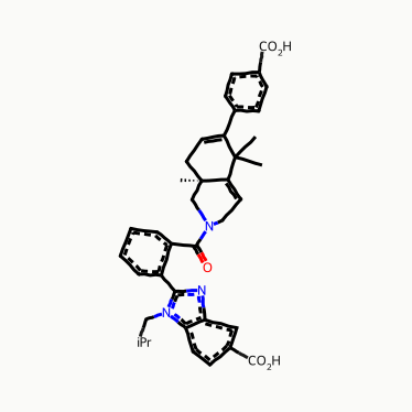 CC(C)Cn1c(-c2ccccc2C(=O)N2CC=C3C(C)(C)C(c4ccc(C(=O)O)cc4)=CC[C@]3(C)C2)nc2cc(C(=O)O)ccc21